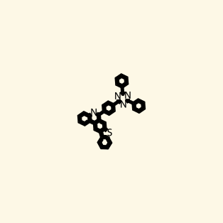 c1ccc(-c2nc(-c3ccccc3)nc(-c3ccc(-c4nc5ccccc5c5cc6c(cc45)sc4ccccc46)cc3)n2)cc1